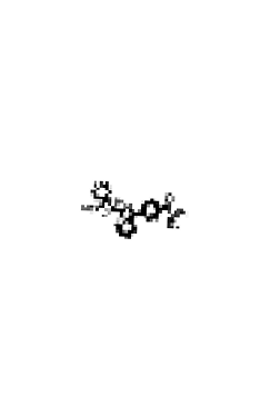 CCN(CC)C(=O)c1ccc(-c2nc(C(=O)NC3(CO)CCOCC3)n3ccccc23)cc1